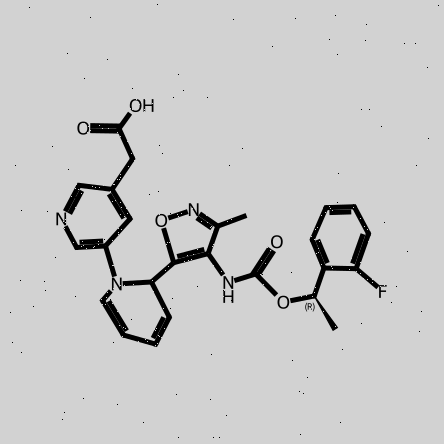 Cc1noc(C2C=CC=CN2c2cncc(CC(=O)O)c2)c1NC(=O)O[C@H](C)c1ccccc1F